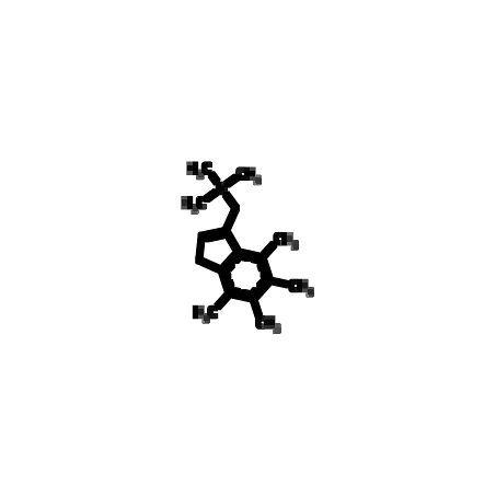 Cc1c(C)c(C)c2c(c1C)CC=C2C[Si](C)(C)C